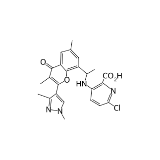 Cc1cc(C(C)Nc2ccc(Cl)nc2C(=O)O)c2oc(-c3cn(C)nc3C)c(C)c(=O)c2c1